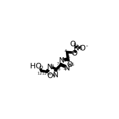 O=[N+]([O-])OCc1nc(-c2noc(CO)n2)no1